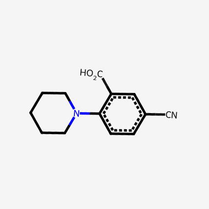 N#Cc1ccc(N2CCCCC2)c(C(=O)O)c1